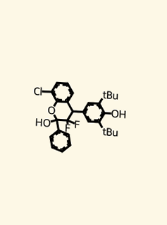 CC(C)(C)c1cc(C2c3cccc(Cl)c3OC(O)(c3ccccc3)C2(F)F)cc(C(C)(C)C)c1O